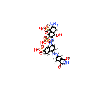 Nc1ccc2c(O)c(/N=N/c3ccc(/N=N/c4ccc5c(c4)C(=O)NC5=O)c4ccc(S(=O)(=O)O)cc34)c(S(=O)(=O)O)cc2c1S(=O)(=O)O